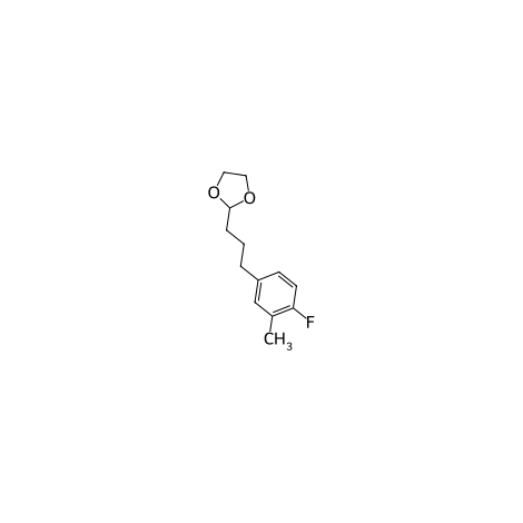 Cc1cc(CCCC2OCCO2)ccc1F